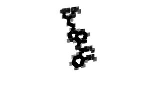 CO[C@H](CO)CCn1cnc2c(ON(N)c3ccccc3N)ncnc21